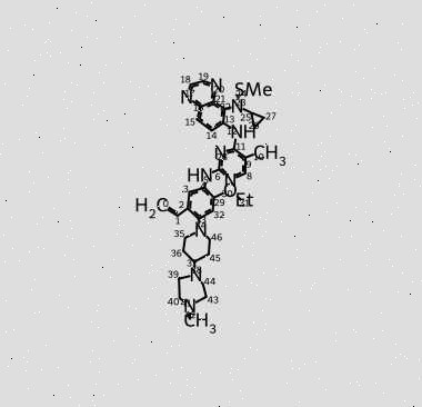 C=Cc1cc(Nc2ncc(C)c(Nc3ccc4nccnc4c3N(SC)C3CC3)n2)c(OCC)cc1N1CCC(N2CCN(C)CC2)CC1